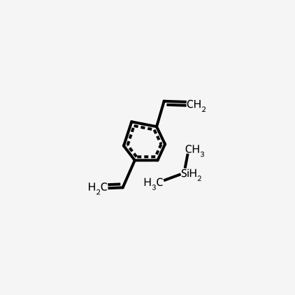 C=Cc1ccc(C=C)cc1.C[SiH2]C